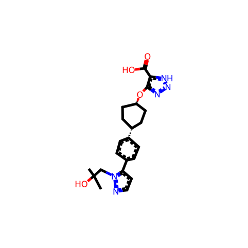 CC(C)(O)Cn1nccc1-c1ccc([C@H]2CC[C@H](Oc3nn[nH]c3C(=O)O)CC2)cc1